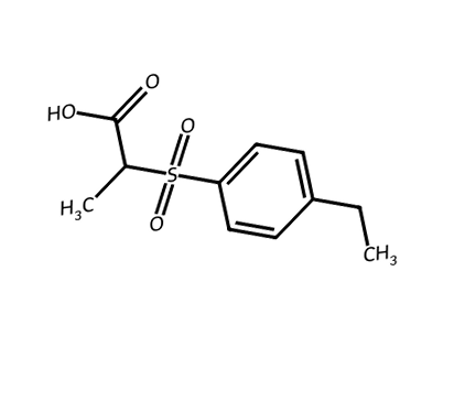 CCc1ccc(S(=O)(=O)C(C)C(=O)O)cc1